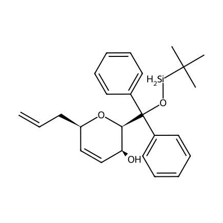 C=CC[C@@H]1C=C[C@H](O)[C@H](C(O[SiH2]C(C)(C)C)(c2ccccc2)c2ccccc2)O1